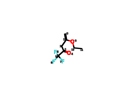 C=C(CC(=O)C(F)(F)F)OCC